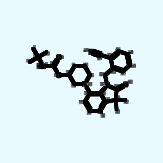 CC(C)(C)NC(=O)OC1CCCN(c2ccnc3c2N(Cc2ccccc2C#N)C(=O)C3(C)C)C1